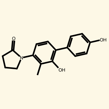 Cc1c(N2CCCC2=O)ccc(-c2ccc(O)cc2)c1O